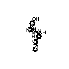 OC1CCN(c2cncc3[nH]c(-c4n[nH]c5ccc(-c6cncc(CN7CCCC7)c6)cc45)nc23)CC1